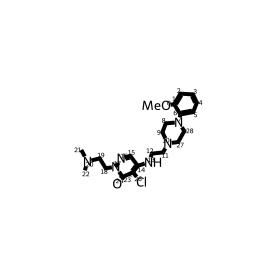 COc1ccccc1N1CCN(CCNc2cnn(CCN(C)C)c(=O)c2Cl)CC1